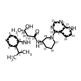 CC(C)c1ccccc1N[C@@H](C(=O)N[C@@H]1CCCN(c2ncnc3[nH]ccc23)C1)[C@H](C)O